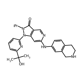 CC(C)n1c(=O)c2cnc(Nc3ccc4c(c3)CNCC4)cc2n1-c1cccc(C(C)(C)O)n1